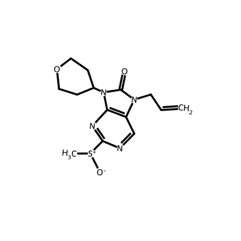 C=CCn1c(=O)n(C2CCOCC2)c2nc([S+](C)[O-])ncc21